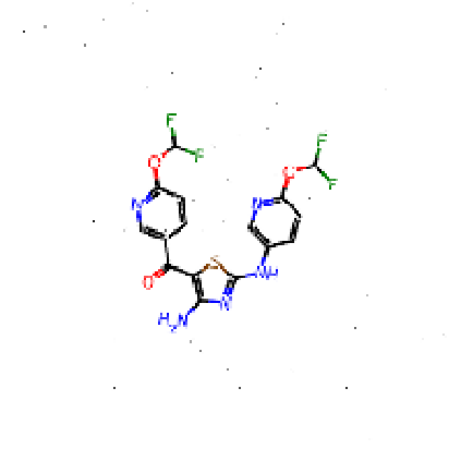 Nc1nc(Nc2ccc(OC(F)F)nc2)sc1C(=O)c1ccc(OC(F)F)nc1